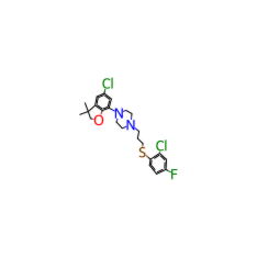 CC1(C)COc2c(N3CCN(CCCSc4ccc(F)cc4Cl)CC3)cc(Cl)cc21